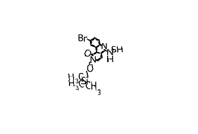 C[Si](C)(C)CCOCn1ccc2c(NS)nc3ccc(Br)cc3c2c1=O